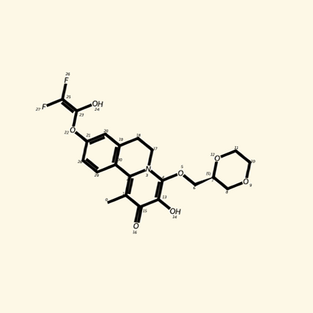 Cc1c2n(c(OC[C@@H]3COCCO3)c(O)c1=O)CCc1cc(OC(O)=C(F)F)ccc1-2